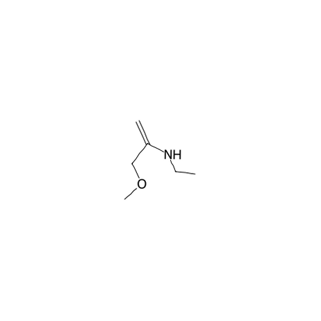 C=C(COC)NCC